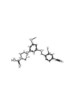 COc1cc(OCc2ccc(C#N)cc2F)nc(N2CCN(C(=O)O)CC2)c1